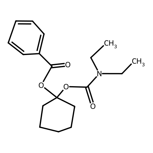 CCN(CC)C(=O)OC1(OC(=O)c2ccccc2)CCCCC1